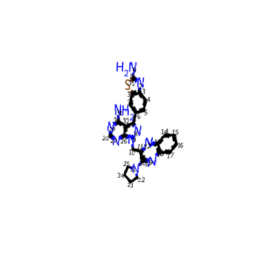 Nc1nc2ccc(-c3nn(Cc4nc5ccccc5nc4N4CCCC4)c4ncnc(N)c34)cc2s1